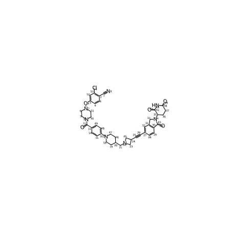 N#Cc1ccc(ON2CCN(C(=O)c3ccc(N4CCC(CN5CC(C#Cc6ccc7c(c6)CN(C6CCC(=O)NC6=O)C7=O)C5)CC4)cc3)CC2)cc1Cl